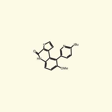 COc1ccc2[nH]c(=O)c3sccc3c2c1-c1ccc(C(C)(C)C)nc1